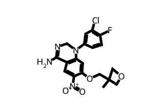 CC1(COc2cc3c(cc2[N+](=O)[O-])C(N)=NCN3c2ccc(F)c(Cl)c2)COC1